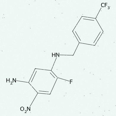 Nc1cc(NCc2ccc(C(F)(F)F)cc2)c(F)cc1[N+](=O)[O-]